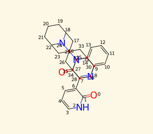 O=c1[nH]cccc1-c1nc2ccccc2n(C2CC3CCCC(C2)N3C2CC3CCCC(C3)C2)c1=O